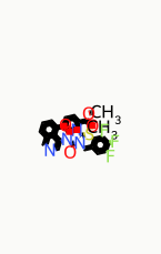 COC(=O)c1ccc(-c2cccc3cncc(-n4c(=O)nc(SC)n(Cc5cc(F)c(F)c(F)c5)c4=O)c23)cc1